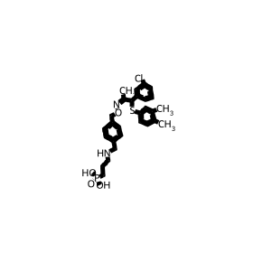 CC(=NOCc1ccc(CNCCCP(=O)(O)O)cc1)C(Sc1ccc(C)c(C)c1)c1cccc(Cl)c1